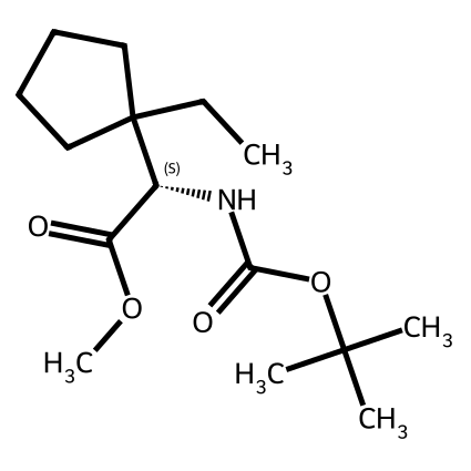 CCC1([C@H](NC(=O)OC(C)(C)C)C(=O)OC)CCCC1